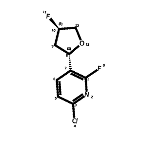 Fc1nc(Cl)ccc1[C@@H]1C[C@@H](F)CO1